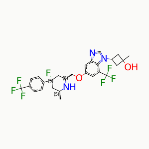 C[C@H]1C[C@@](F)(c2ccc(C(F)(F)F)cc2)C[C@@H](COc2cc(C(F)(F)F)c3c(c2)ncn3C2CC(C)(O)C2)N1